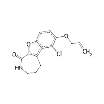 C=CCOc1ccc2oc3c(c2c1Cl)CCCNC3=O